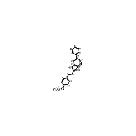 CCCCOc1ccc(CCc2nc3ncc(-c4ccccc4)cc3[nH]2)cc1